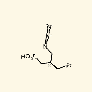 CC(C)C[C@H](CN=[N+]=[N-])CC(=O)O